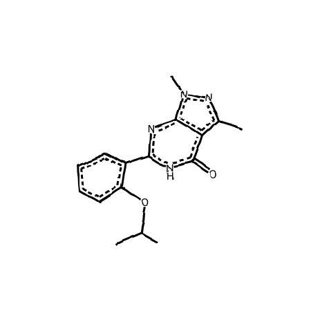 Cc1nn(C)c2nc(-c3ccccc3OC(C)C)[nH]c(=O)c12